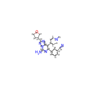 C=N/C=C\C(=C/C)c1c(-c2cccc(C#N)c2)nc(N)n2nc(C3CCOC3)nc12